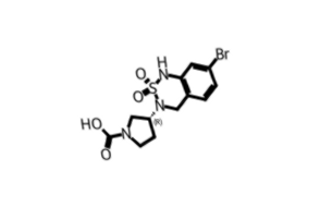 O=C(O)N1CC[C@@H](N2Cc3ccc(Br)cc3NS2(=O)=O)C1